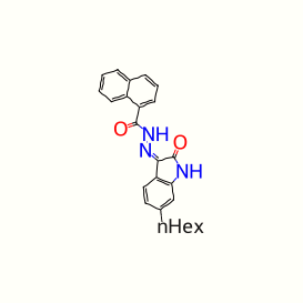 CCCCCCc1ccc2c(c1)NC(=O)/C2=N\NC(=O)c1cccc2ccccc12